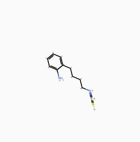 Nc1ccccc1CCCCN=C=S